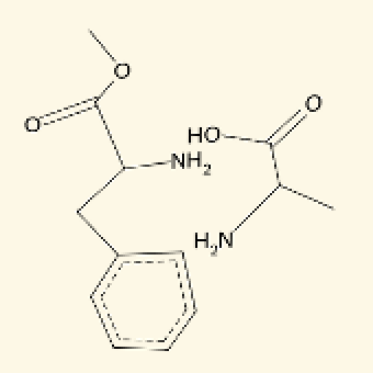 CC(N)C(=O)O.COC(=O)C(N)Cc1ccccc1